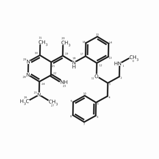 CNCC(Cc1ccccc1)Oc1ccccc1N/C(C)=C1\C(=N)C(N(C)C)=NN=C1C